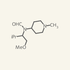 COCC(C(C)C)N(C=O)C1CCN(C)CC1